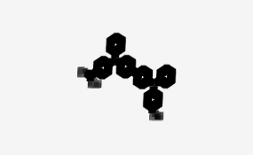 CCC(C)c1ccc(N(c2ccccc2)c2ccc(-c3ccc(N(c4ccccc4)c4ccc(C(CC)C(C)CC)cc4)cc3)cc2)cc1